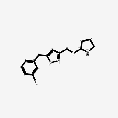 Fc1cccc(Cc2cc(COC3CCCN3)no2)c1